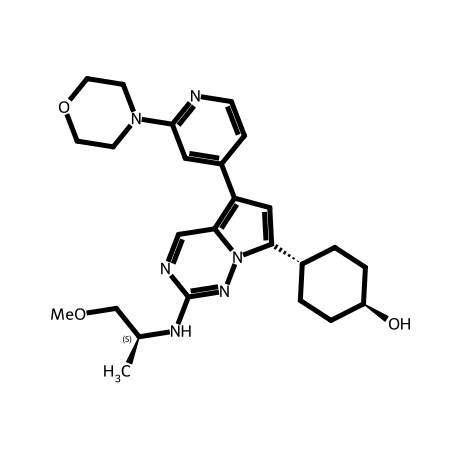 COC[C@H](C)Nc1ncc2c(-c3ccnc(N4CCOCC4)c3)cc([C@H]3CC[C@H](O)CC3)n2n1